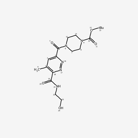 Cc1cc(C(=O)N2CCN(C(=O)OC(C)(C)C)CC2)nnc1C(=O)NCCO